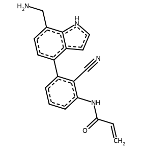 C=CC(=O)Nc1cccc(-c2ccc(CN)c3[nH]ccc23)c1C#N